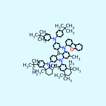 Cc1cc2c3c(c1)N(c1cccc4c1oc1ccccc14)c1cc(N(c4ccc(C(C)(C)C)cc4)c4ccc(C(C)(C)C)cc4)ccc1B3c1ccc(N3c4ccc(C(C)(C)C)cc4C4(C)CCCCC34C)cc1N2c1cc2c(cc1C)C(C)(C)CCC2(C)C